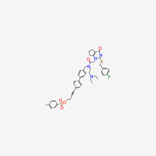 CCN(CC)CCN(Cc1ccc(-c2ccc(C#CCCOS(=O)(=O)c3ccc(C)cc3)cc2)cc1)C(=O)Cn1c(SCc2ccc(F)cc2)nc(=O)c2c1CCC2